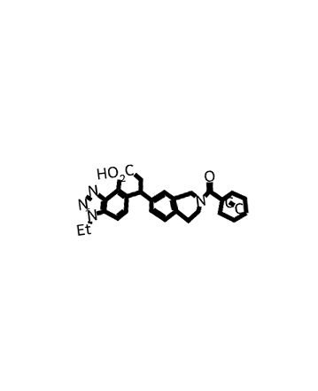 CCn1nnc2c(C)c(C(CC(=O)O)c3ccc4c(c3)CN(C(=O)C35CCC(CC3)CC5)CC4)ccc21